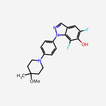 COC1(C)CCN(c2ccc(-n3ncc4cc(F)c(O)c(F)c43)cc2)CC1